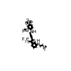 CN(C)CCNc1cccc2c(CC(F)(F)F)c(C#CCNc3ccc(S(C)(=O)=O)cc3OCF)sc12